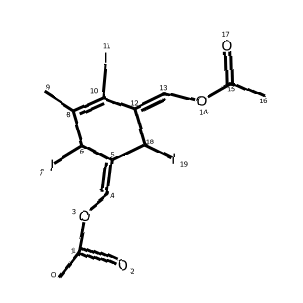 CC(=O)O/C=C1\C(I)C(C)=C(I)/C(=C/OC(C)=O)C1I